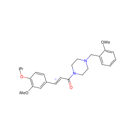 COc1ccccc1CN1CCN(C(=O)/C=C/c2ccc(OC(C)C)c(OC)c2)CC1